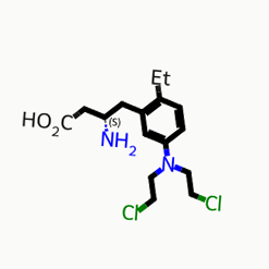 CCc1ccc(N(CCCl)CCCl)cc1C[C@H](N)CC(=O)O